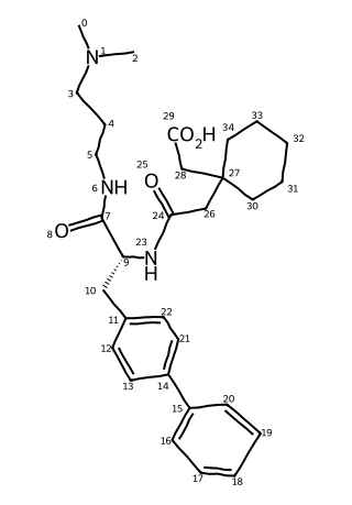 CN(C)CCCNC(=O)[C@@H](Cc1ccc(-c2ccccc2)cc1)NC(=O)CC1(CC(=O)O)CCCCC1